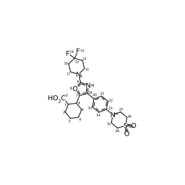 O=C(O)C1CCCCC1c1oc(N2CCC(F)(F)CC2)nc1-c1ccc(N2CCS(=O)(=O)CC2)cc1